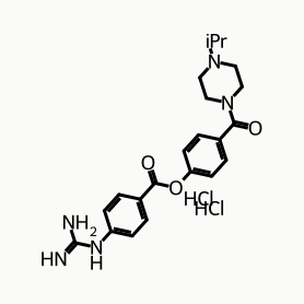 CC(C)N1CCN(C(=O)c2ccc(OC(=O)c3ccc(NC(=N)N)cc3)cc2)CC1.Cl.Cl